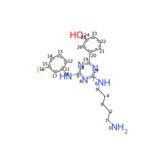 NCCCCCNc1nc(Nc2cccc(F)c2)nc(-c2cccc(O)c2)n1